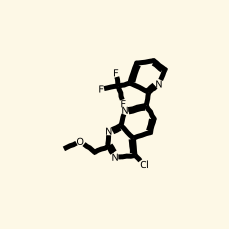 COCc1nc(Cl)c2ccc(-c3ncccc3C(F)(F)F)nc2n1